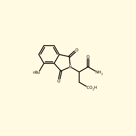 CCCCc1cccc2c1C(=O)N(C(CC(=O)O)C(N)=O)C2=O